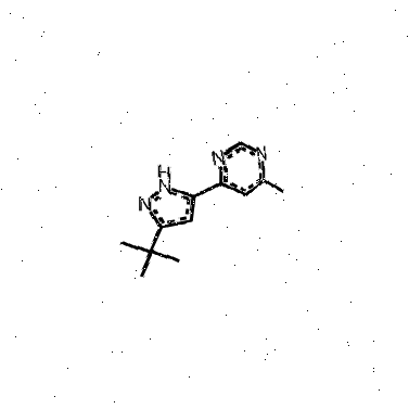 Cc1cc(-c2cc(C(C)(C)C)n[nH]2)ncn1